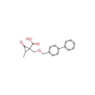 CC1C(=O)C1(COCc1ccc(-c2ccccc2)cc1)C(=O)O